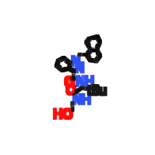 CC(C)(C)C(NC(=O)c1nn(Cc2cccc3ccccc23)c2ccccc12)C(=O)NCCO